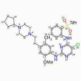 COc1cc(CCN2CCN(C3CCCC3)CC2)c(C)cc1Nc1ncc(Cl)c(Nc2ccccc2S(=O)(=O)C(C)C)n1